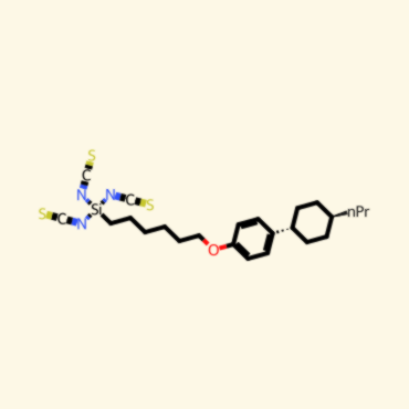 CCC[C@H]1CC[C@H](c2ccc(OCCCCCC[Si](N=C=S)(N=C=S)N=C=S)cc2)CC1